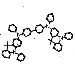 CC1(C)c2ccccc2N(c2ccccc2)c2ccc(N(c3ccccc3)c3ccc(-c4ccc(N(c5ccccc5)c5ccc6c(c5)C(C)(C)c5ccccc5N6c5ccccc5)cc4)cc3)cc21